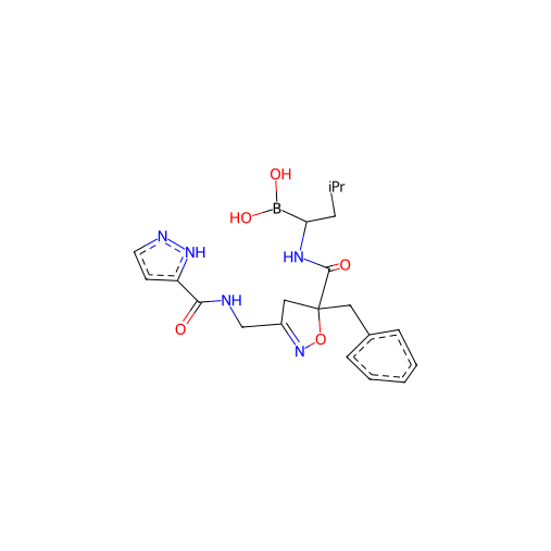 CC(C)CC(NC(=O)C1(Cc2ccccc2)CC(CNC(=O)c2ccn[nH]2)=NO1)B(O)O